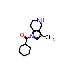 Cc1cn(C(=O)C2CCCCC2)c2c1CNCC2